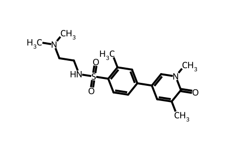 Cc1cc(-c2cc(C)c(=O)n(C)c2)ccc1S(=O)(=O)NCCN(C)C